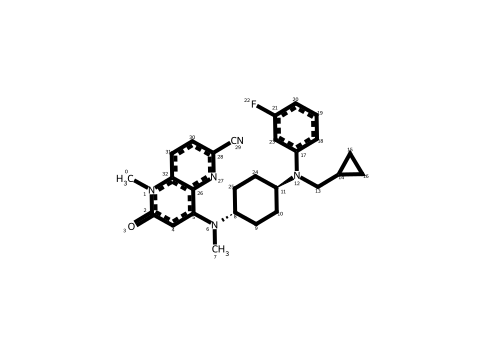 Cn1c(=O)cc(N(C)[C@H]2CC[C@H](N(CC3CC3)c3cccc(F)c3)CC2)c2nc(C#N)ccc21